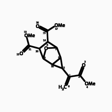 C=C(C(=O)OC)C1C2C3OC(C(C(=O)OC)C3C(=O)OC)C12